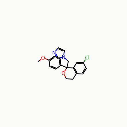 COc1ccc(C2(Cn3ccnc3)OCCc3ccc(Cl)cc32)cc1